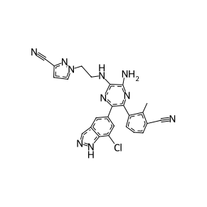 Cc1c(C#N)cccc1-c1nc(N)c(NCCn2ccc(C#N)n2)nc1-c1cc(Cl)c2[nH]ncc2c1